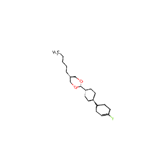 CCCCC[C@H]1CO[C@H]([C@H]2CC[C@H](C3CC=C(F)CC3)CC2)OC1